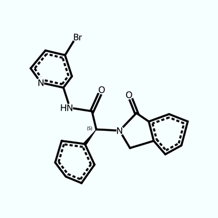 O=C(Nc1cc(Br)ccn1)[C@H](c1ccccc1)N1Cc2ccccc2C1=O